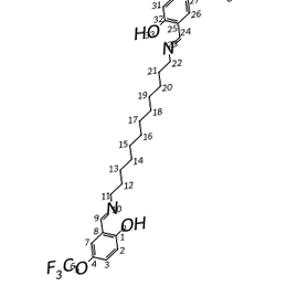 Oc1ccc(OC(F)(F)F)cc1/C=N/CCCCCCCCCCCC/N=C/c1cc(OC(F)(F)F)ccc1O